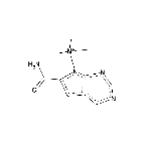 C[N+](C)(C)n1c(C(N)=O)cc2cncnc21